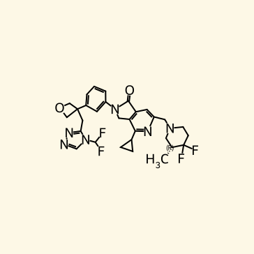 C[C@@H]1CN(Cc2cc3c(c(C4CC4)n2)CN(c2cccc(C4(Cc5nncn5C(F)F)COC4)c2)C3=O)CCC1(F)F